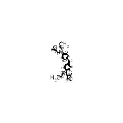 C=CCN(CC1CO1)c1ccc(Cc2ccc(N(CC=C)C3COC3)cc2)cc1